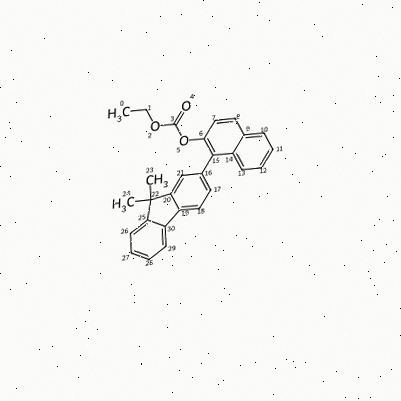 CCOC(=O)Oc1ccc2ccccc2c1-c1ccc2c(c1)C(C)(C)c1ccccc1-2